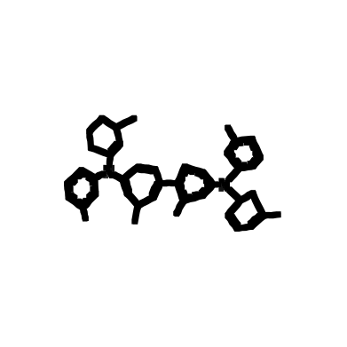 CC1=CC=CC(N(c2cccc(C)c2)c2ccc(C3=CC(C)C=C(N(C4=CC(C)CCC4)c4cccc(C)c4)C=C3)c(C)c2)C1